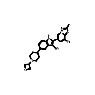 CCc1cc(-c2[nH]c3ccc(C4CCN(C5COC5)CC4)cc3c2C(C)C)cn2nc(C)nc12